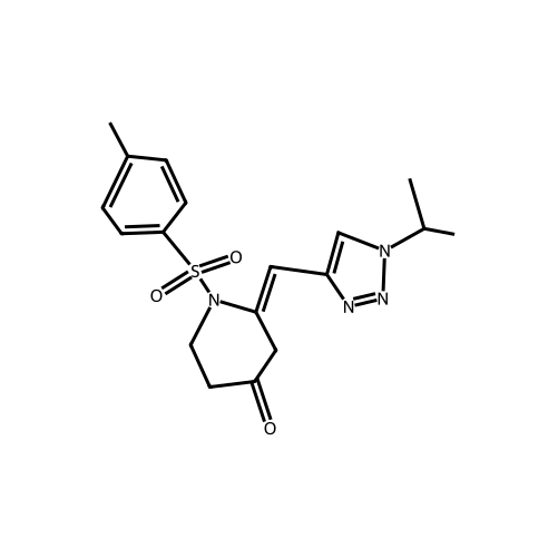 Cc1ccc(S(=O)(=O)N2CCC(=O)CC2=Cc2cn(C(C)C)nn2)cc1